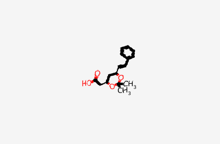 CC1(C)O[C@@H](CC(=O)O)C[C@@H](C=Cc2ccccc2)O1